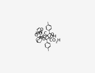 Cc1ccc(C(=O)[C@](O)(C(=O)O)[C@](O)(C(=O)O)C(=O)c2ccc(C)cc2)cc1.c1cc(OC2CC3CCN2CC3)no1